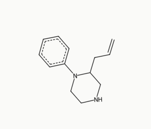 C=CCC1CNCCN1c1ccccc1